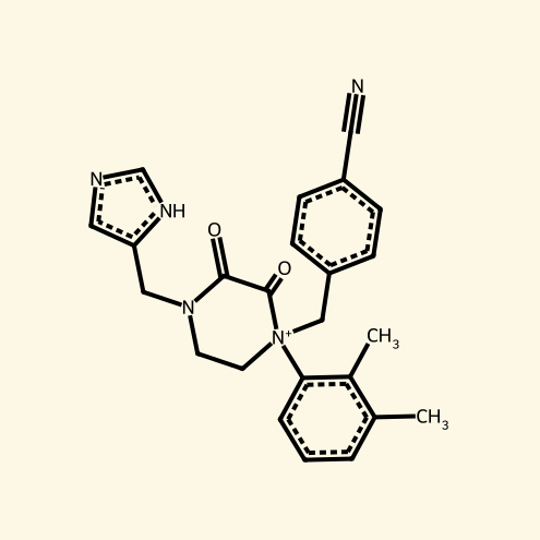 Cc1cccc([N+]2(Cc3ccc(C#N)cc3)CCN(Cc3cnc[nH]3)C(=O)C2=O)c1C